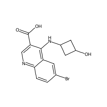 O=C(O)c1cnc2ccc(Br)cc2c1NC1CC(O)C1